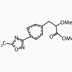 COC(=O)C(Cc1ccc(-c2noc(C(F)(F)F)n2)cc1)OC